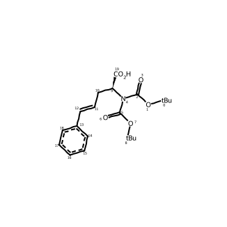 CC(C)(C)OC(=O)N(C(=O)OC(C)(C)C)[C@@H](CC=Cc1ccccc1)C(=O)O